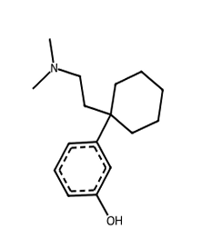 CN(C)CCC1(c2cccc(O)c2)CCCCC1